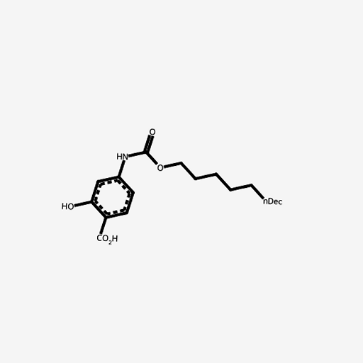 CCCCCCCCCCCCCCCOC(=O)Nc1ccc(C(=O)O)c(O)c1